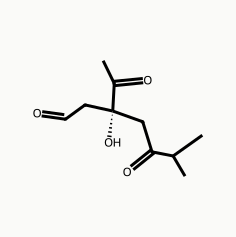 CC(=O)[C@](O)(CC=O)CC(=O)C(C)C